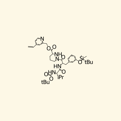 C=Cc1ccnc(COC(=O)C2CCCN(C(=O)C(Cc3cccc(O[Si](C)(C)C(C)(C)C)c3)NC(=O)C(NC(=O)OC(C)(C)C)C(C)C)N2)c1